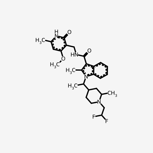 COc1cc(C)[nH]c(=O)c1CNC(=O)c1c(C)n(C(C)C2CCN(CC(F)F)C(C)C2)c2ccccc12